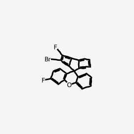 Fc1ccc2c(c1)Oc1ccccc1C21c2ccccc2-c2cc(F)c(Br)cc21